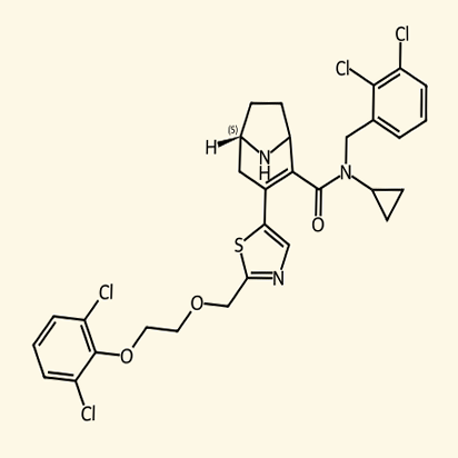 O=C(C1=C(c2cnc(COCCOc3c(Cl)cccc3Cl)s2)C[C@@H]2CCC1N2)N(Cc1cccc(Cl)c1Cl)C1CC1